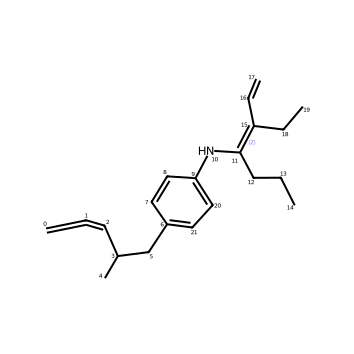 C=C=CC(C)Cc1ccc(N/C(CCC)=C(\C=C)CC)cc1